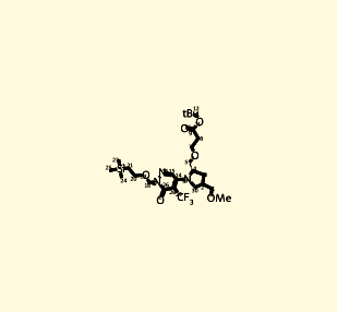 COCC1C[C@@H](COCCC(=O)OC(C)(C)C)N(c2cnn(COCC[Si](C)(C)C)c(=O)c2C(F)(F)F)C1